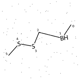 CBCSSC